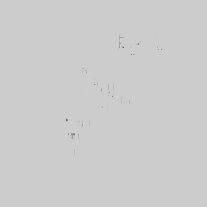 CC(C)(C)NS(=O)(=O)c1cc(NC(=O)NCc2ccccc2F)ccc1-c1cnc([C@H]2CC[C@H](NC(=O)OC3COC3)CC2)s1